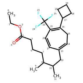 CCOC(=O)CCCC(C)C(C)CC1=CCC(C2CCC2)=C(C(F)(F)F)C=C1